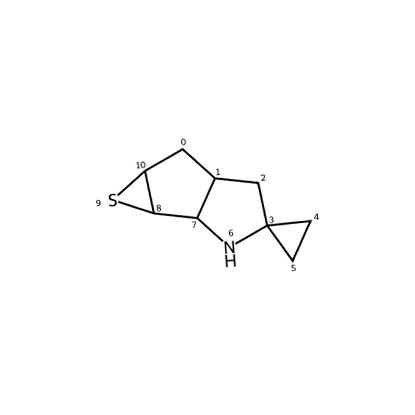 C1C2CC3(CC3)NC2C2SC12